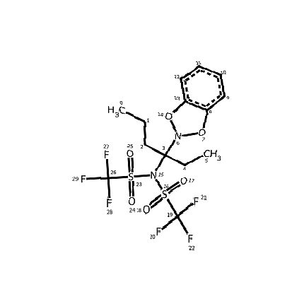 CCCC(CC)(N1Oc2ccccc2O1)N(S(=O)(=O)C(F)(F)F)S(=O)(=O)C(F)(F)F